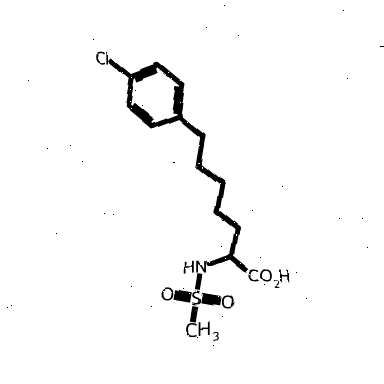 CS(=O)(=O)NC(CCCCCc1ccc(Cl)cc1)C(=O)O